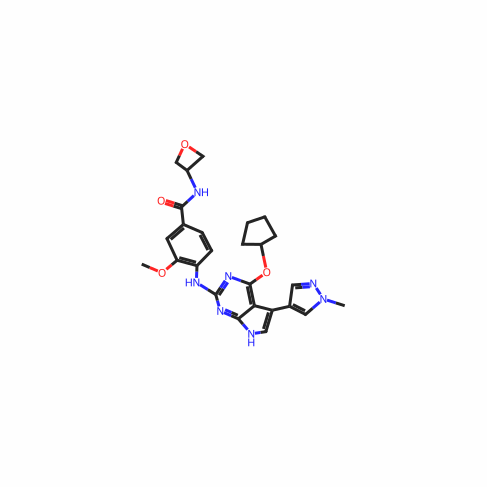 COc1cc(C(=O)NC2COC2)ccc1Nc1nc(OC2CCCC2)c2c(-c3cnn(C)c3)c[nH]c2n1